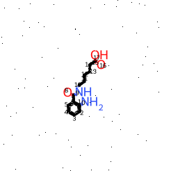 Nc1ccccc1C(=O)NCCCCCC(=O)O